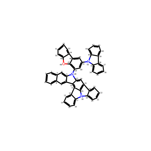 c1ccc2cc3c(cc2c1)c1c2c4ccccc4n4c5ccccc5c(cc1n3-c1cc(-n3c5ccccc5c5ccccc53)cc3c1oc1ccccc13)c24